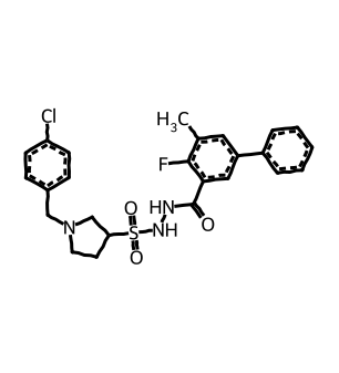 Cc1cc(-c2ccccc2)cc(C(=O)NNS(=O)(=O)C2CCN(Cc3ccc(Cl)cc3)C2)c1F